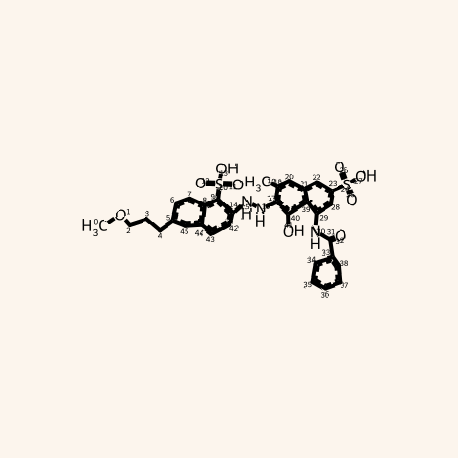 COCCCc1ccc2c(S(=O)(=O)O)c(NNc3c(C)cc4cc(S(=O)(=O)O)cc(NC(=O)c5ccccc5)c4c3O)ccc2c1